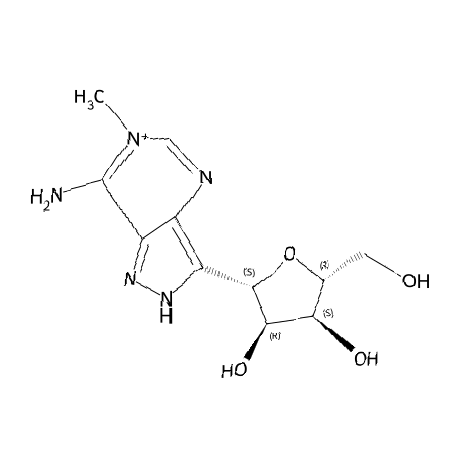 C[n+]1cnc2c([C@@H]3O[C@H](CO)[C@@H](O)[C@H]3O)[nH]nc2c1N